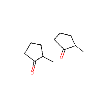 CC1CCCC1=O.CC1CCCC1=O